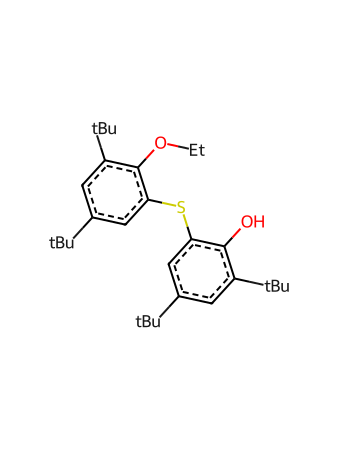 CCOc1c(Sc2cc(C(C)(C)C)cc(C(C)(C)C)c2O)cc(C(C)(C)C)cc1C(C)(C)C